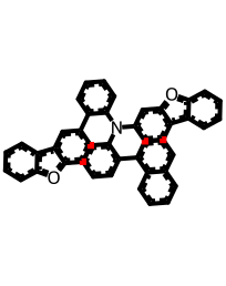 c1ccc(N(c2ccc3c(c2)oc2ccccc23)c2ccccc2-c2cccc3ccccc23)c(-c2ccc3oc4ccccc4c3c2)c1